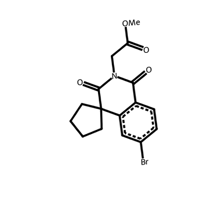 COC(=O)CN1C(=O)c2ccc(Br)cc2C2(CCCC2)C1=O